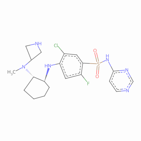 CN(C1CNC1)[C@H]1CCCC[C@@H]1Nc1cc(F)c(S(=O)(=O)Nc2ccncn2)cc1Cl